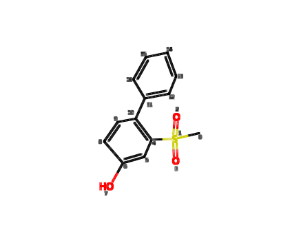 CS(=O)(=O)c1cc(O)ccc1-c1ccccc1